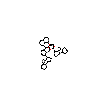 c1ccc(-c2cccc3cccc(-c4c5cccc(-c6cccc7c6oc6ccccc67)c5cc5c(-c6cccc7c6oc6ccccc67)cccc45)c23)cc1